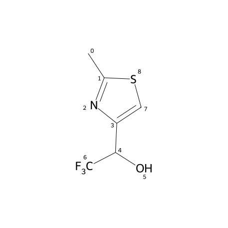 Cc1nc(C(O)C(F)(F)F)cs1